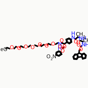 COCCOCCOCCOCCOCCOCCOCCOCCNC(=O)C(OC(=O)Oc1ccc([N+](=O)[O-])cc1)c1ccc(NC(=O)[C@H](C)NC(=O)[C@H](C)NC(=O)OCC2c3ccccc3-c3ccccc32)cc1